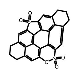 O=S1(=O)Oc2cc3c4c(cc5c6c7c(cc8c9c(cc1c(c2c46)c97)CCC8)S5(=O)=O)CCC3